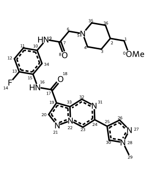 COCC1CCN(CC(=O)Nc2ccc(F)c(NC(=O)c3cnn4cc(-c5cnn(C)c5)ncc34)c2)CC1